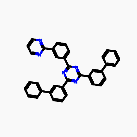 c1ccc(-c2cccc(-c3nc(-c4cccc(-c5ccccc5)c4)nc(-c4cccc(-c5ncccn5)c4)n3)c2)cc1